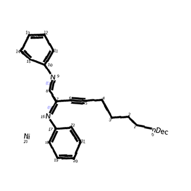 CCCCCCCCCCCCCCC#CC(/C=N/c1ccccc1)=N\c1ccccc1.[Ni]